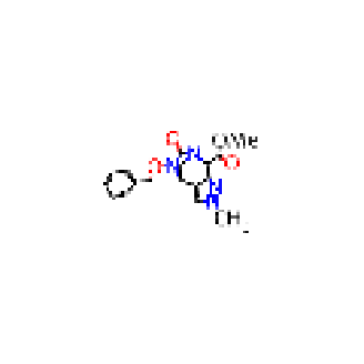 COC(=O)C1c2nn(C)cc2C2CN1C(=O)N2OCc1ccccc1